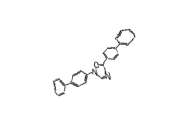 C1=NC(c2ccc(-c3ccccc3)cc2)ON1c1ccc(-c2ccccc2)cc1